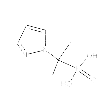 CC(C)(n1cc[c]n1)P(=O)(O)O